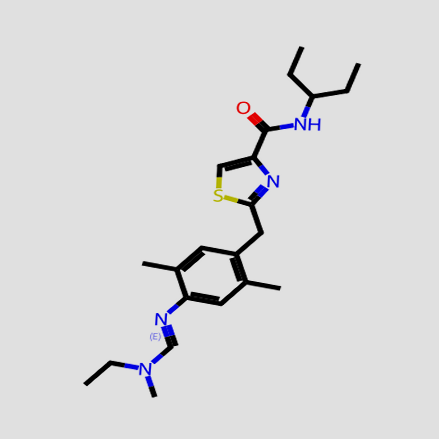 CCC(CC)NC(=O)c1csc(Cc2cc(C)c(/N=C/N(C)CC)cc2C)n1